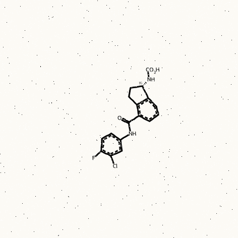 O=C(O)N[C@H]1CCc2c(C(=O)Nc3ccc(F)c(Cl)c3)cccc21